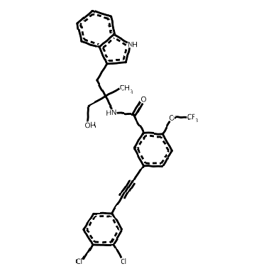 CC(CO)(Cc1c[nH]c2ccccc12)NC(=O)c1cc(C#Cc2ccc(Cl)c(Cl)c2)ccc1OC(F)(F)F